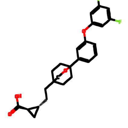 O=C(O)[C@@H]1C[C@H]1CCC12CCC(c3cccc(Oc4cc(F)cc(F)c4)c3)(CC1)OC2